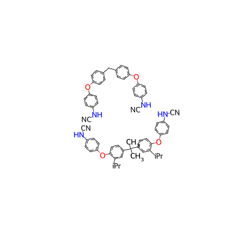 CC(C)c1cc(C(C)(C)c2ccc(Oc3ccc(NC#N)cc3)c(C(C)C)c2)ccc1Oc1ccc(NC#N)cc1.N#CNc1ccc(Oc2ccc(Cc3ccc(Oc4ccc(NC#N)cc4)cc3)cc2)cc1